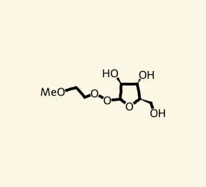 COCCOOC1O[C@H](CO)[C@@H](O)[C@@H]1O